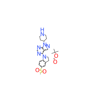 CC(C)(C)OC=O.CS(=O)(=O)c1ccc2c(c1)CCN2c1ncnc2c1cnn2C1CCNCC1